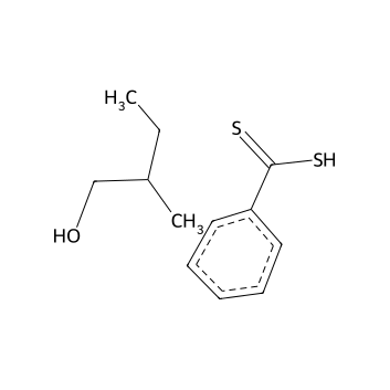 CCC(C)CO.S=C(S)c1ccccc1